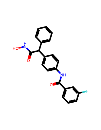 O=C(Nc1ccc(C(C(=O)NO)c2ccccc2)cc1)c1cccc(F)c1